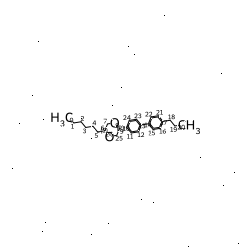 CCCCCC[C@H]1CO[C@H](c2ccc(-c3ccc(CCC)cc3)cc2)CO1